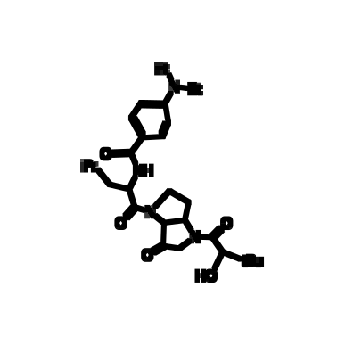 CCN(CC)c1ccc(C(=O)NC(CC(C)C)C(=O)N2CCC3C2C(=O)CN3C(=O)C(O)C(C)(C)C)cc1